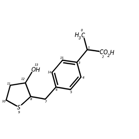 CC(C(=O)O)c1ccc(CC2SCCC2O)cc1